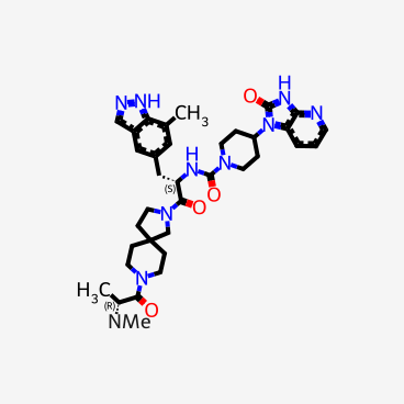 CN[C@H](C)C(=O)N1CCC2(CCN(C(=O)[C@H](Cc3cc(C)c4[nH]ncc4c3)NC(=O)N3CCC(n4c(=O)[nH]c5ncccc54)CC3)C2)CC1